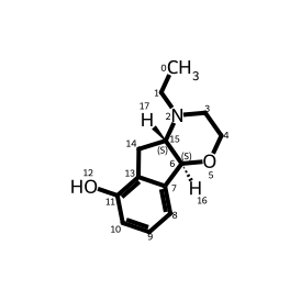 CCN1CCO[C@H]2c3cccc(O)c3C[C@@H]21